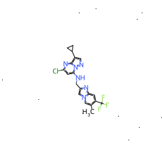 Cc1cn2cc(CNc3cc(Cl)nc4c(C5CC5)cnn34)nc2cc1C(F)(F)F